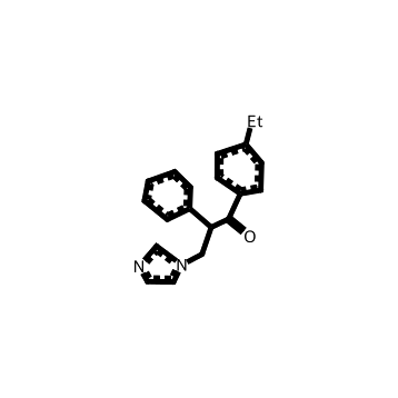 CCc1ccc(C(=O)C(Cn2ccnc2)c2ccccc2)cc1